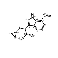 COc1cccc2c(C(CC3CC3)C(N)=O)c[nH]c12